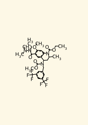 CCOC(=O)N1c2cc(OC)c(C(=O)N(CC)N(C)C)cc2C(N(Cc2cc(C(F)(F)F)cc(C(F)(F)F)c2)C(=O)OC)CC1C